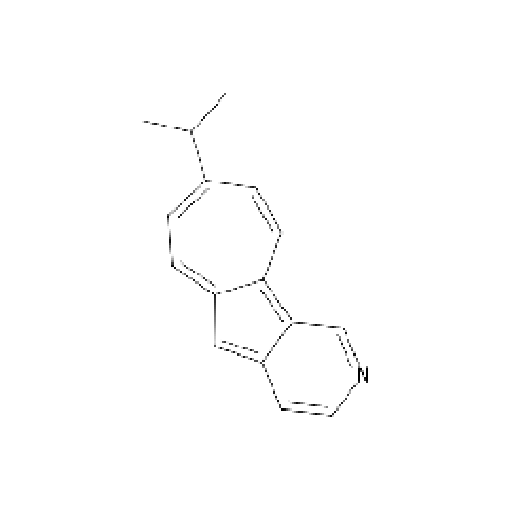 CC(C)c1ccc2cc3ccncc3c-2cc1